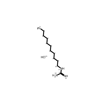 CC(C)CCCCCCCCCCNC(=N)N.Cl